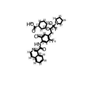 O=C(Nc1cc(F)c(CC(=O)C(F)(O[C@H]2CC[C@H](C(=O)O)CC2)N2CCCC2)cc1Cl)c1nccc2ccccc12